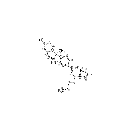 CC1(c2ccc(Cl)cn2)C(=O)Nc2nc(-c3cn4ccnc4c(CCCC(F)(F)F)n3)ncc21